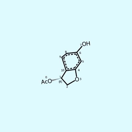 CC(=O)O[C@H]1COc2cc(O)ccc21